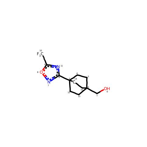 OCC12CCC(c3noc(C(F)(F)F)n3)(CC1)CC2